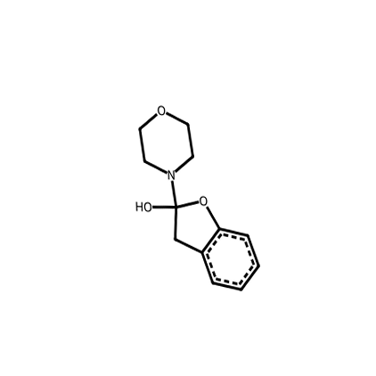 OC1(N2CCOCC2)Cc2ccccc2O1